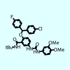 COc1ccc(NC(=O)Nc2ccc(OC(c3ccc(F)cc3)c3ccc(Cl)cc3)c(C(=O)NC(C)(C)C)c2)cc1OC